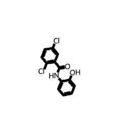 O=C(Nc1ccccc1O)c1cc(Cl)ccc1Cl